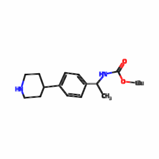 CC(NC(=O)OC(C)(C)C)c1ccc(C2CCNCC2)cc1